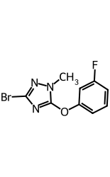 Cn1nc(Br)nc1Oc1cccc(F)c1